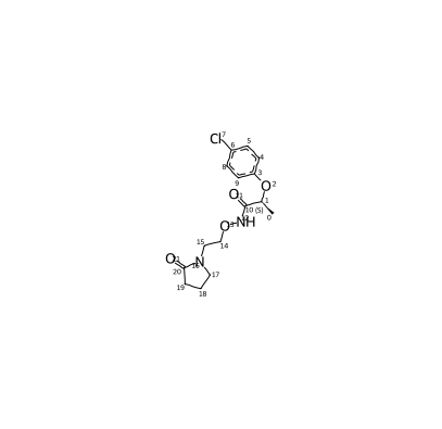 C[C@H](Oc1ccc(Cl)cc1)C(=O)NOCCN1CCCC1=O